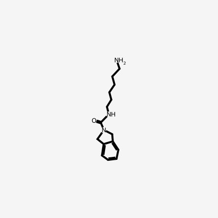 NCCCCCCNC(=O)N1Cc2ccccc2C1